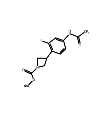 CC(C)(C)OC(=O)N1CC(c2ccc(NC(=O)C(F)(F)F)cc2F)C1